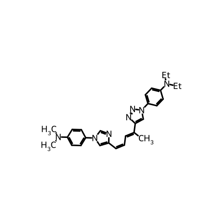 CCN(CC)c1ccc(-n2cc(/C(C)=C/C=C\c3cn(-c4ccc(N(C)C)cc4)cn3)nn2)cc1